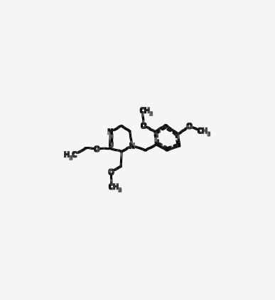 CCOC1=NCCN(Cc2ccc(OC)cc2OC)C1COC